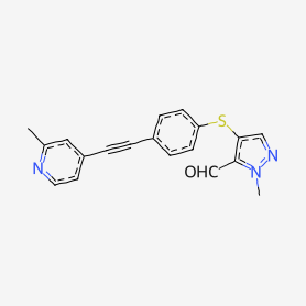 Cc1cc(C#Cc2ccc(Sc3cnn(C)c3C=O)cc2)ccn1